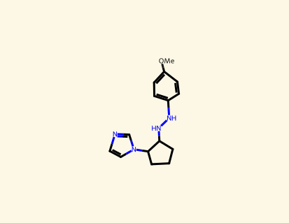 COc1ccc(NNC2CCCC2n2ccnc2)cc1